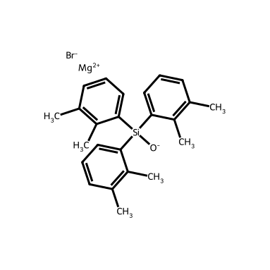 Cc1cccc([Si]([O-])(c2cccc(C)c2C)c2cccc(C)c2C)c1C.[Br-].[Mg+2]